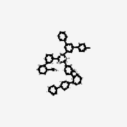 Cc1ccc(-c2cc(-c3ccccc3)cc(-c3nc(-c4cccc(-c5ccccc5C#N)c4)nc(-c4ccc5c(c4)oc4cccc(-c6ccc(-c7ccccc7)cc6)c45)n3)c2)cc1